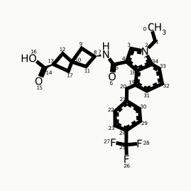 CCn1cc(C(=O)N[C@H]2CC3(C2)C[C@H](C(=O)O)C3)c2c(Cc3ccc(C(F)(F)F)cc3)cccc21